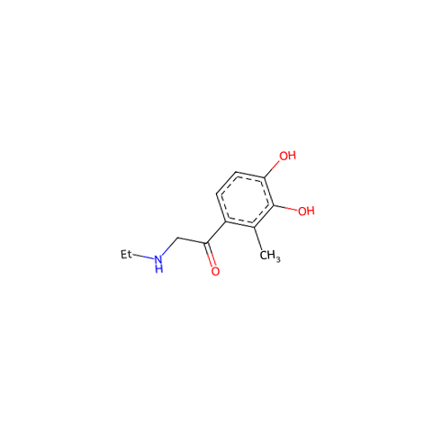 CCNCC(=O)c1ccc(O)c(O)c1C